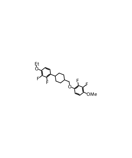 CCOc1ccc(C2CCC(COc3ccc(OC)c(F)c3F)CC2)c(F)c1F